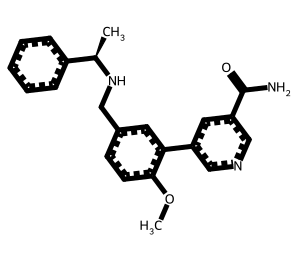 COc1ccc(CN[C@H](C)c2ccccc2)cc1-c1cncc(C(N)=O)c1